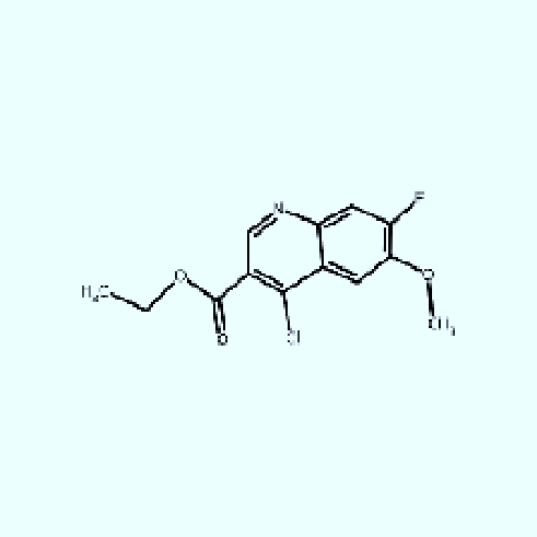 CCOC(=O)c1cnc2cc(F)c(OC)cc2c1Cl